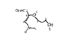 CN(C)C=C(C=O)OCCO